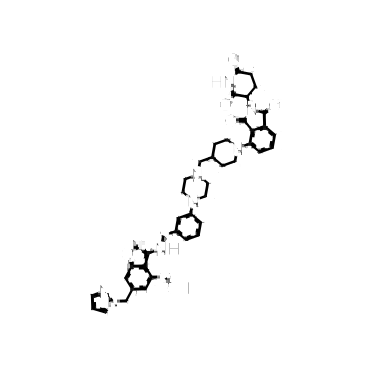 COc1cc(Cn2cccn2)cc2onc(NSc3cccc(N4CCN(CC5CCN(c6cccc7c6C(=O)N(C6CCC(=O)NC6=O)C7=O)CC5)CC4)c3)c12